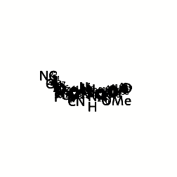 COc1cc(Nc2ncnc(-c3ccc(O[C@H]4CCN(C(=O)CC#N)C[C@@H]4F)c(C#N)c3)n2)ccc1N1CCN(C2COC2)CC1